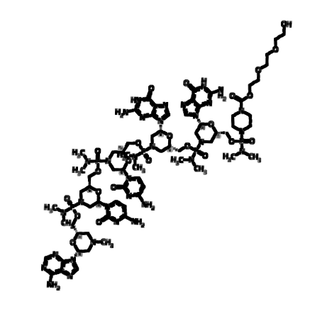 CN1C[C@@H](COP(=O)(N(C)C)N2C[C@@H](COP(=O)(N(C)C)N3C[C@@H](COP(=O)(N(C)C)N4C[C@@H](COP(=O)(N(C)C)N5C[C@@H](COP(=O)(N(C)C)N6CCN(C(=O)OCCOCCOCCO)CC6)O[C@@H](n6cnc7c(=O)[nH]c(N)nc76)C5)O[C@@H](n5cnc6c(=O)[nH]c(N)nc65)C4)O[C@@H](n4ccc(N)nc4=O)C3)O[C@@H](n3ccc(N)nc3=O)C2)O[C@@H](n2cnc3c(N)ncnc32)C1